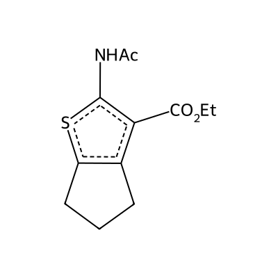 CCOC(=O)c1c(NC(C)=O)sc2c1CCC2